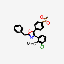 COc1c(Cl)cccc1-c1nc(Cc2ccccc2)oc1-c1ccc(S(C)(=O)=O)cc1